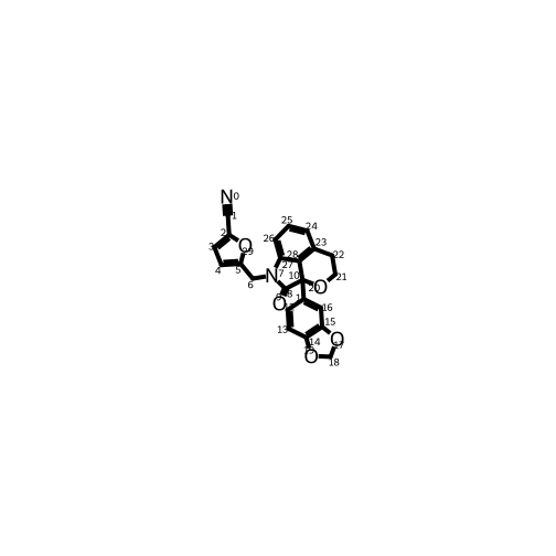 N#Cc1ccc(CN2C(=O)C3(c4ccc5c(c4)OCO5)OCCc4cccc2c43)o1